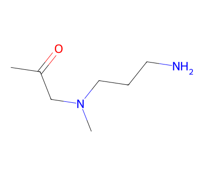 CC(=O)CN(C)CCCN